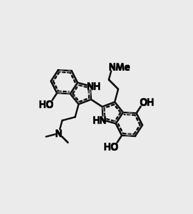 CNCCc1c(-c2[nH]c3cccc(O)c3c2CCN(C)C)[nH]c2c(O)ccc(O)c12